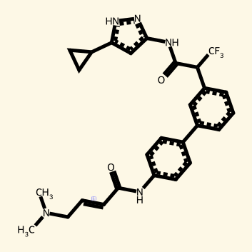 CN(C)C/C=C/C(=O)Nc1ccc(-c2cccc(C(C(=O)Nc3cc(C4CC4)[nH]n3)C(F)(F)F)c2)cc1